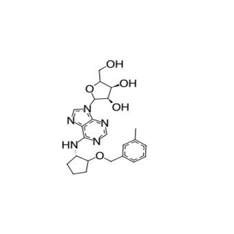 Cc1cccc(COC2CCC[C@@H]2Nc2ncnc3c2ncn3C2OC(CO)[C@@H](O)[C@H]2O)c1